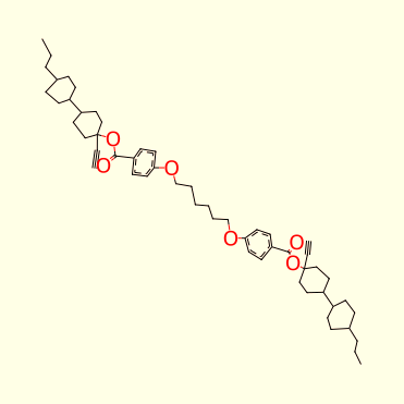 C#CC1(OC(=O)c2ccc(OCCCCCCOc3ccc(C(=O)OC4(C#C)CCC(C5CCC(CCC)CC5)CC4)cc3)cc2)CCC(C2CCC(CCC)CC2)CC1